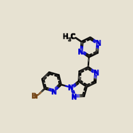 Cc1cncc(-c2cc3c(cn2)cnn3-c2cccc(Br)n2)n1